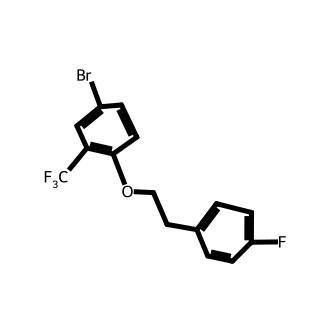 Fc1ccc(CCOc2ccc(Br)cc2C(F)(F)F)cc1